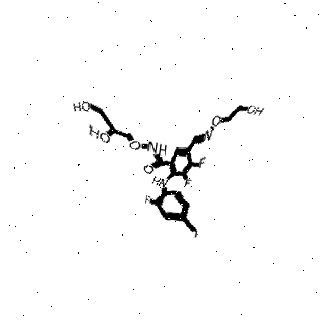 O=C(NOCC(O)CO)c1cc(C=NOCCO)c(F)c(F)c1Nc1ccc(I)cc1F